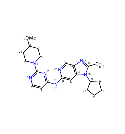 COC1CCN(c2nccc(Nc3cc4c(cn3)nc(C)n4C3CCCC3)n2)CC1